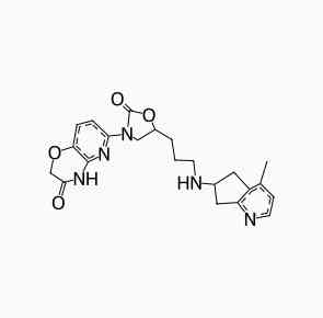 Cc1ccnc2c1CC(NCCCC1CN(c3ccc4c(n3)NC(=O)CO4)C(=O)O1)C2